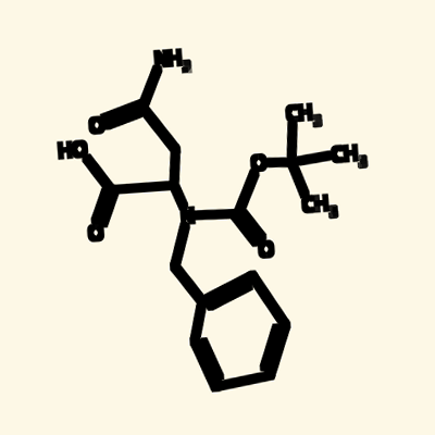 CC(C)(C)OC(=O)N(Cc1ccccc1)C(CC(N)=O)C(=O)O